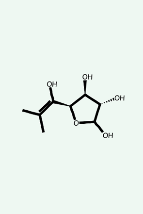 CC(C)=C(O)[C@@H]1OC(O)[C@@H](O)[C@@H]1O